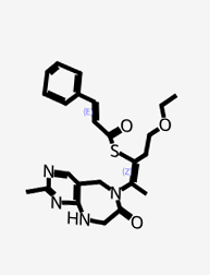 CCOCC/C(SC(=O)/C=C/c1ccccc1)=C(\C)N1Cc2cnc(C)nc2NCC1=O